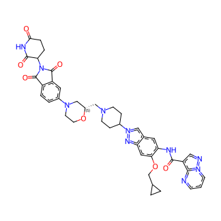 O=C1CCC(N2C(=O)c3ccc(N4CCO[C@@H](CN5CCC(n6cc7cc(NC(=O)c8cnn9cccnc89)c(OCC8CC8)cc7n6)CC5)C4)cc3C2=O)C(=O)N1